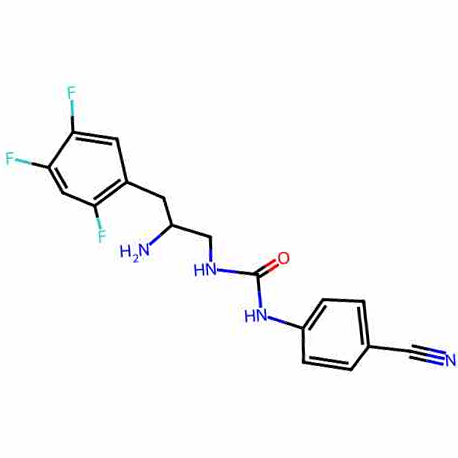 N#Cc1ccc(NC(=O)NCC(N)Cc2cc(F)c(F)cc2F)cc1